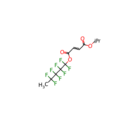 CC(C)OC(=O)/C=C/C(=O)OC(F)(F)C(F)(F)C(F)(F)C(C)(F)F